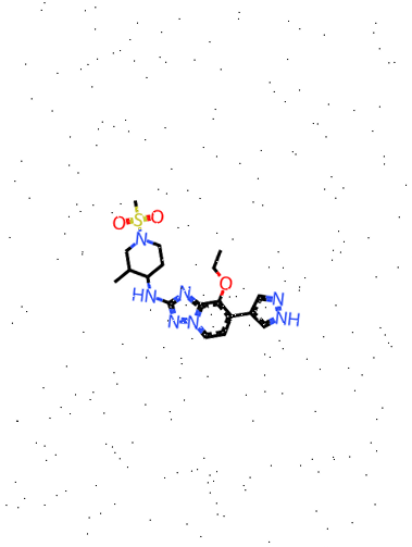 CCOc1c(-c2cn[nH]c2)ccn2nc(NC3CCN(S(C)(=O)=O)CC3C)nc12